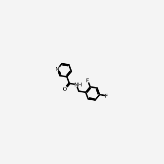 O=C(NCc1ccc(F)cc1F)c1cccnc1